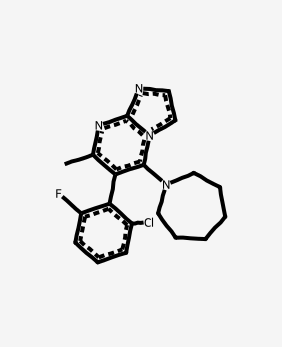 Cc1nc2nccn2c(N2CCCCCC2)c1-c1c(F)cccc1Cl